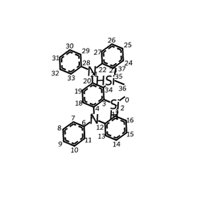 C[SiH](C)c1c(N(c2ccccc2)c2ccccc2)ccc(N(c2ccccc2)c2ccccc2)c1[SiH](C)C